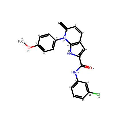 C=C1C=Cc2cc(C(=O)Nc3cccc(Cl)c3)[nH]c2N1c1ccc(OC(F)(F)F)cc1